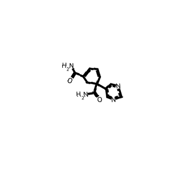 NC(=O)C1=CC=CC(C(N)=O)(c2cncnc2)C1